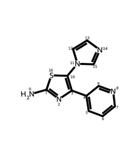 Nc1nc(-c2cccnc2)c(-n2ccnc2)s1